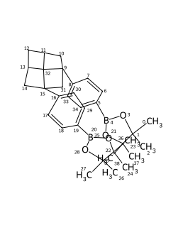 CC1(C)OB(c2ccc(C34CC5CC6CC(c7ccc(B8OC(C)(C)C(C)(C)O8)cc7)(C3)C564)cc2)OC1(C)C